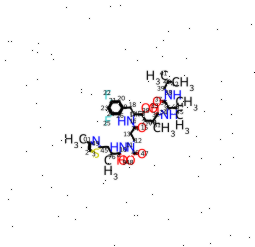 Cc1csc(CC(C)C(=O)NN(CCC(=O)N[C@@H](Cc2cc(F)cc(F)c2)[C@@H](O)C[C@@H](C)C(=O)NC(C(=O)NCC(C)C)C(C)C)C(=O)O)n1